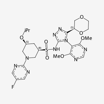 COc1ncnc(OC)c1-n1c(NS(=O)(=O)[C@@H]2C[C@H](OC(C)C)CN(c3ncc(F)cn3)C2)nnc1[C@H]1COCCO1